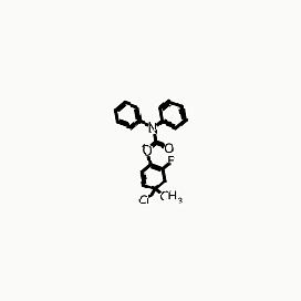 CC1(Cl)C=CC(OC(=O)N(c2ccccc2)c2ccccc2)=C(F)C1